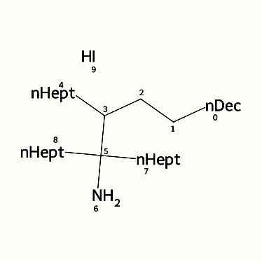 CCCCCCCCCCCCC(CCCCCCC)C(N)(CCCCCCC)CCCCCCC.I